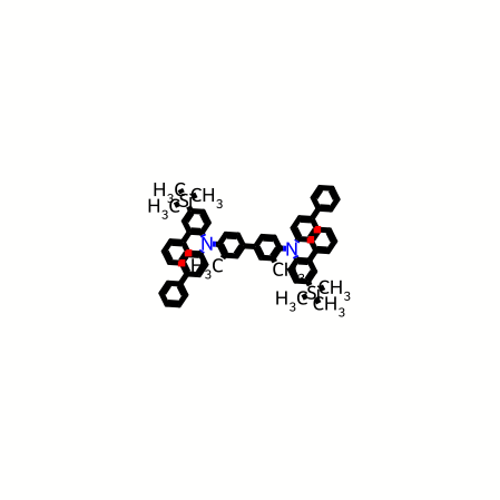 Cc1cc(-c2ccc(N(c3ccc(-c4ccccc4)cc3)c3ccc([Si](C)(C)C)cc3-c3ccccc3)c(C)c2)ccc1N(c1ccc(-c2ccccc2)cc1)c1ccc([Si](C)(C)C)cc1-c1ccccc1